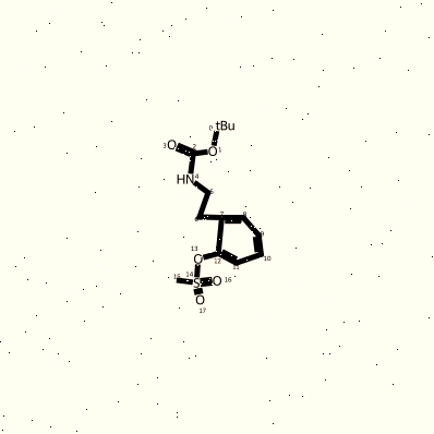 CC(C)(C)OC(=O)NCCc1ccccc1OS(C)(=O)=O